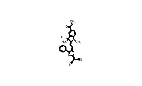 CCC(=O)c1ccc2c(c1)C(C)(C)/C(=C/C=c1/sc(=C(C#N)C#N)nc1-c1ccccc1)N2C